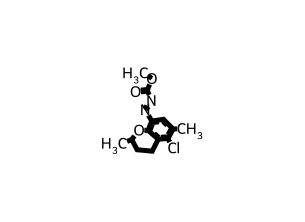 COC(=O)N=Nc1cc(C)c(Cl)c2c1OC(C)CC2